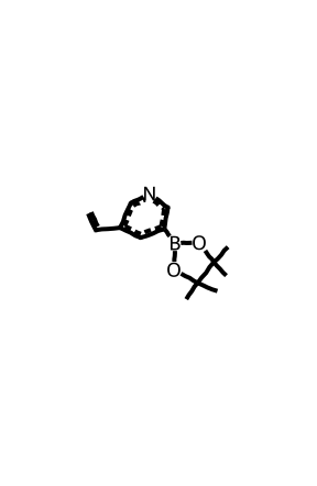 C=Cc1cncc(B2OC(C)(C)C(C)(C)O2)c1